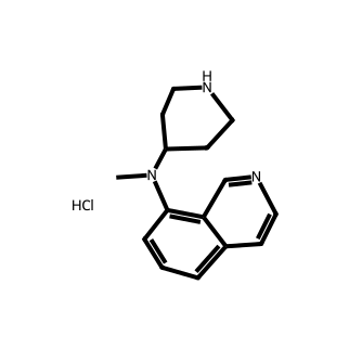 CN(c1cccc2ccncc12)C1CCNCC1.Cl